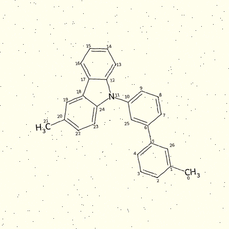 Cc1cccc(-c2cccc(-n3c4ccccc4c4cc(C)ccc43)c2)c1